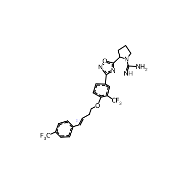 N=C(N)N1CCCC1c1nc(-c2ccc(OCC/C=C/c3ccc(C(F)(F)F)cc3)c(C(F)(F)F)c2)no1